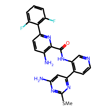 CSc1nc(N)cc(-c2ccncc2NC(=O)c2nc(-c3c(F)cccc3F)ccc2N)n1